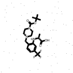 CC(Nc1cc(C(F)(F)F)ccc1CN1CCN(C(=O)OC(C)(C)C)CC1)C(=O)O